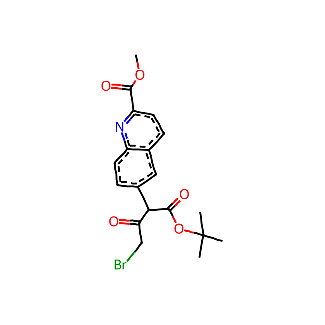 COC(=O)c1ccc2cc(C(C(=O)CBr)C(=O)OC(C)(C)C)ccc2n1